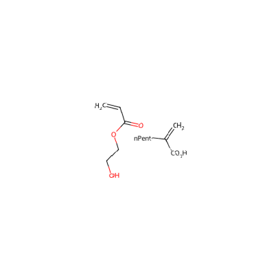 C=C(CCCCC)C(=O)O.C=CC(=O)OCCO